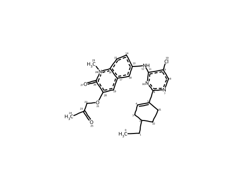 CCC1CC=C(c2ncc(Cl)c(Nc3ccc4c(c3)cc(OCC(C)=O)c(=O)n4C)n2)CC1